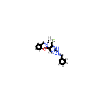 CN(Cc1ccccc1)C(=O)c1cnc(NNCc2ccccc2)nc1CF